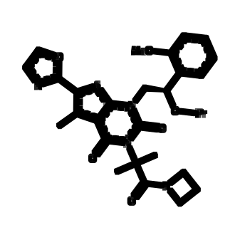 COc1ccccc1[C@H](Cn1c(=O)n(C(C)(C)C(=O)N2CCC2)c(=O)c2c(C)c(-c3ncco3)sc21)OC(C)C